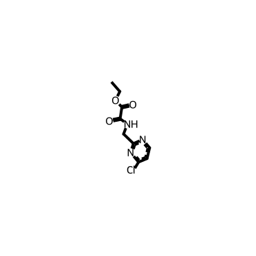 CCOC(=O)C(=O)NCc1nccc(Cl)n1